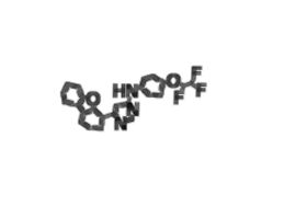 FC(F)C(F)Oc1ccc(Nc2cc(-c3cccc4c3oc3ccccc34)ncn2)cc1